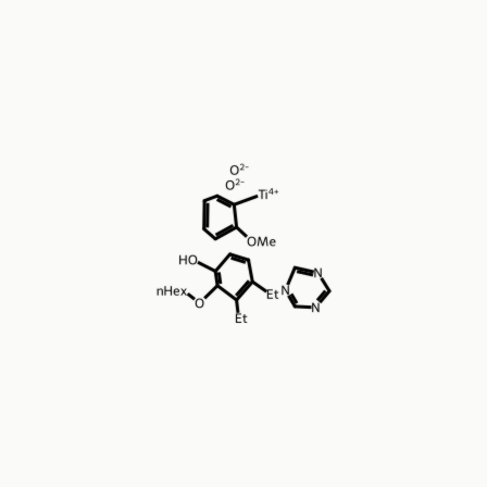 CCCCCCOc1c(O)ccc(CC)c1CC.COc1cccc[c]1[Ti+4].[O-2].[O-2].c1ncncn1